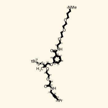 CNCCCOCCOCCOCCNC(=O)c1cccc(OCC(C)(OCCOCC(=O)NCC#CC(C)C)SSC(C)(C)C)c1